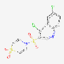 O=S1(=O)C=CN(S(=O)(=O)c2cnc3ccc(Cl)cc3c2Cl)C=C1